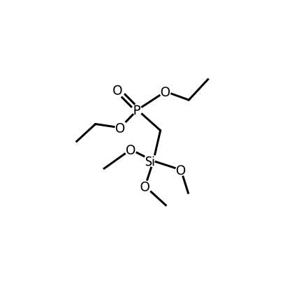 CCOP(=O)(C[Si](OC)(OC)OC)OCC